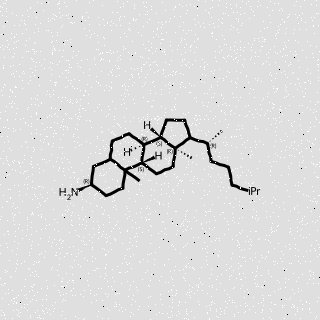 CC(C)CCC[C@@H](C)C1CC[C@H]2[C@@H]3CCC4C[C@H](N)CCC4(C)[C@H]3CC[C@]12C